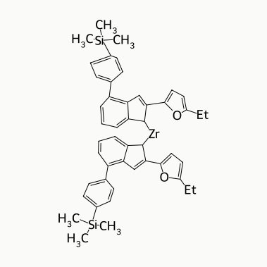 CCc1ccc(C2=Cc3c(-c4ccc([Si](C)(C)C)cc4)cccc3[CH]2[Zr][CH]2C(c3ccc(CC)o3)=Cc3c(-c4ccc([Si](C)(C)C)cc4)cccc32)o1